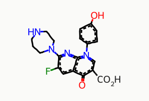 O=C(O)c1cn(-c2ccc(O)cc2)c2nc(N3CCCNCC3)c(F)cc2c1=O